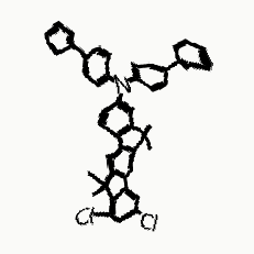 CC1(C)c2cc(N(c3ccc(-c4ccccc4)cc3)c3ccc(-c4ccccc4)cc3)ccc2-c2cc3c(cc21)-c1cc(Cl)cc(Cl)c1C3(C)C